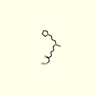 CCCCCCCCCCCC(=O)CCCCN(CC)CCCN1CCCC1